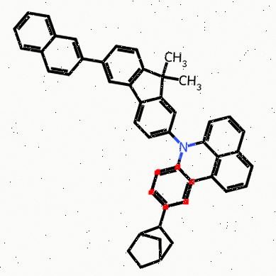 CC1(C)c2ccc(-c3ccc4ccccc4c3)cc2-c2ccc(N(c3ccc(C4CC5CCC4C5)cc3)c3cccc4cccc(C5CCCCC5)c34)cc21